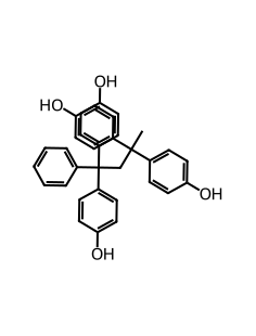 CC(CC(c1ccccc1)(c1ccc(O)cc1)c1ccc(O)cc1)(c1ccc(O)cc1)c1ccc(O)cc1